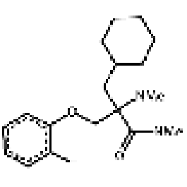 CNC(=O)C(COc1ccccc1F)(CC1CCCCC1)NC